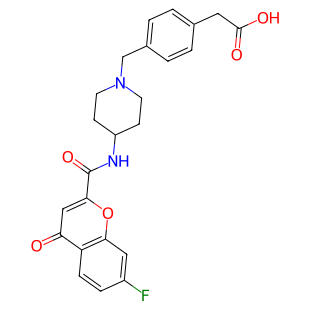 O=C(O)Cc1ccc(CN2CCC(NC(=O)c3cc(=O)c4ccc(F)cc4o3)CC2)cc1